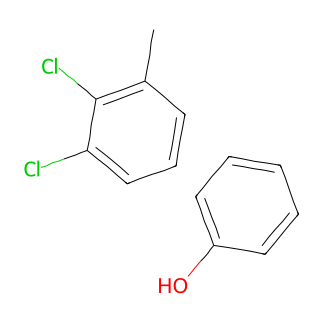 Cc1cccc(Cl)c1Cl.Oc1ccccc1